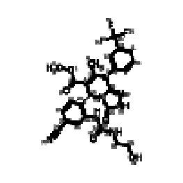 COC(=O)C1=C(C)N(c2cccc(C(F)(F)F)c2)c2n[nH]c(=O)n2[C@@H]1c1ccc(C#N)cc1NC(=O)NCCO